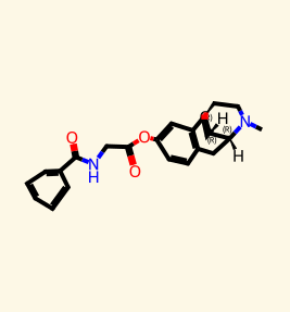 CN1CC[C@]23CCCC[C@H]2[C@H]1Cc1ccc(OC(=O)CNC(=O)c2ccccc2)cc13